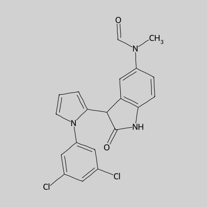 CN(C=O)c1ccc2c(c1)C(c1cccn1-c1cc(Cl)cc(Cl)c1)C(=O)N2